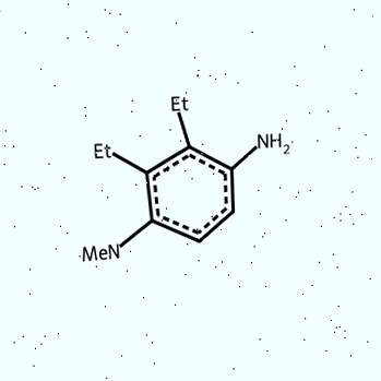 CCc1c(N)ccc(NC)c1CC